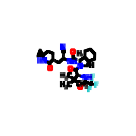 CC(C)(C)[C@H](NC(=O)C(F)(F)F)C(=O)N1C[C@@H]2CCCC[C@@H]2[C@H]1C(=O)N[C@H](C#N)C[C@@H]1CCC2(CC2)NC1=O